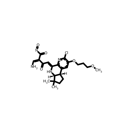 COCCCOc1cc2c(nc1Cl)/C(=C/C(=O)/C(=C\N)C(=O)N=O)N[C@@H]1[C@H]2CCC1(C)C